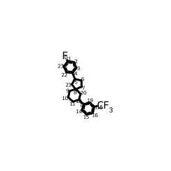 Fc1ccc(C2CCC3(CCCC(c4cccc(C(F)(F)F)c4)C3)C2)cc1